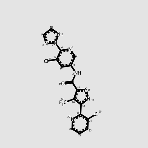 O=C(Nc1cnc(-n2nccn2)c(Cl)c1)c1snc(-c2ncccc2Cl)c1C(F)(F)F